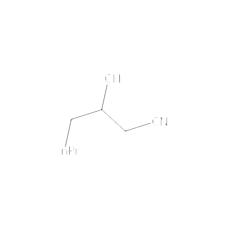 CCCCC(C)CC#N